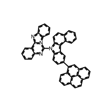 c1ccc2c(c1)ccc1c2c2cc(-c3cc4cccc5ccc6cccc3c6c54)ccc2n1-c1nc2ccccc2c2nc3ccccc3n12